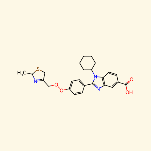 CC1N=C(COOc2ccc(-c3nc4cc(C(=O)O)ccc4n3C3CCCCC3)cc2)CS1